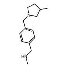 CNCc1ccc(CN2CCC(I)C2)cc1